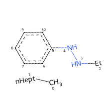 CCCCCCCC.CCNNc1ccccc1